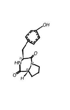 O=C1N[C@@H](Cc2ccc(O)cc2)C(=O)N2CCC[C@H]12